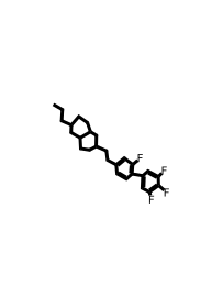 CCCC1CCC2CC(CCc3ccc(-c4cc(F)c(F)c(F)c4)c(F)c3)CCC2C1